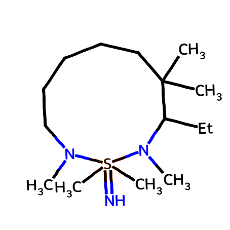 CCC1N(C)S(C)(C)(=N)N(C)CCCCCC1(C)C